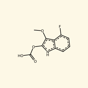 COc1c(OC(=O)O)[nH]c2cccc(F)c12